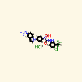 Cl.Nc1ccc2c(ccn2-c2ccc(N(O)C(=O)Nc3ccc(Cl)c(C(F)(F)F)c3)cc2)c1